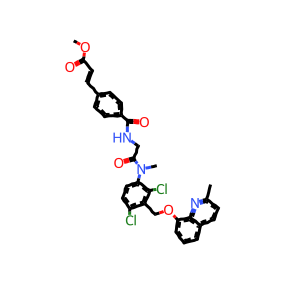 COC(=O)C=Cc1ccc(C(=O)NCC(=O)N(C)c2ccc(Cl)c(COc3cccc4ccc(C)nc34)c2Cl)cc1